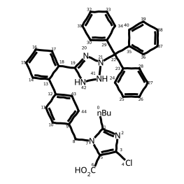 CCCCc1nc(Cl)c(C(=O)O)n1Cc1ccc(-c2ccccc2C2=NN(C(c3ccccc3)(c3ccccc3)c3ccccc3)NN2)cc1